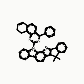 CC1(C)c2ccccc2-c2sc3c(ccc4c5ccccc5n(-c5nc(-c6ccccc6)c6ccc7c(c6n5)CCC=C7)c43)c21